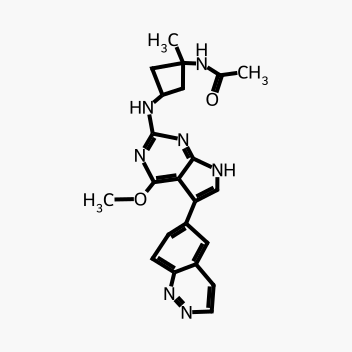 COc1nc(NC2CC(C)(NC(C)=O)C2)nc2[nH]cc(-c3ccc4nnccc4c3)c12